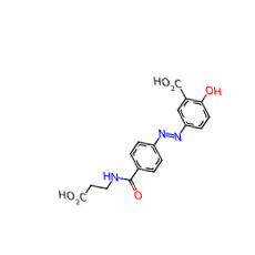 O=C(O)CCNC(=O)c1ccc(N=Nc2ccc(O)c(C(=O)O)c2)cc1